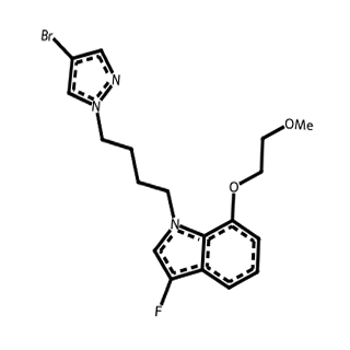 COCCOc1cccc2c(F)cn(CCCCn3cc(Br)cn3)c12